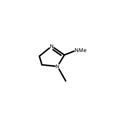 CNC1=NCCN1C